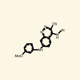 COc1cccc(Nc2ccc3c(NC(C)C)c(C#N)nnc3c2)c1